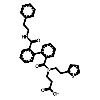 O=C(O)CCN(CCc1cccs1)C(=O)c1ccccc1-c1ccccc1C(=O)NCCc1ccccc1